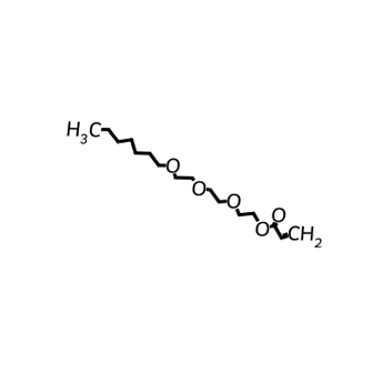 C=CC(=O)OCCOCCOCCOCCCCCCC